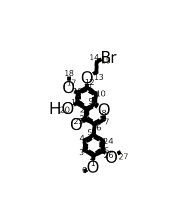 COc1ccc(-c2coc3cc(OCCBr)c(OC)c(O)c3c2=O)cc1OC